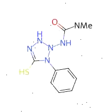 CNC(=O)NN1NN=C(S)N1c1ccccc1